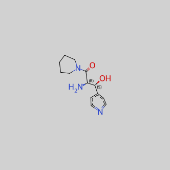 N[C@@H](C(=O)N1CCCCC1)[C@@H](O)c1ccncc1